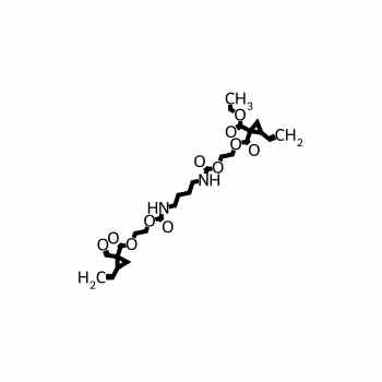 C=CC1CC1(C=O)C(=O)OCCOC(=O)NCCCCNC(=O)OCCOC(=O)C1(C(=O)OCC)CC1C=C